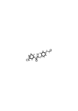 O=CCc1ccc(CNC(=O)c2ccnc(Cl)c2)cc1